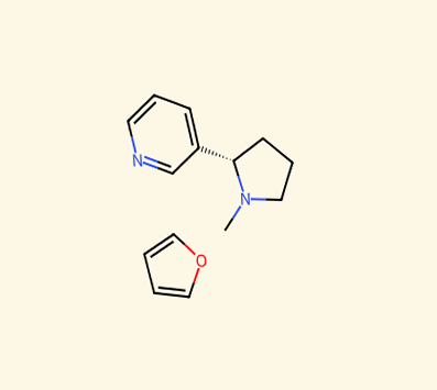 CN1CCC[C@H]1c1cccnc1.c1ccoc1